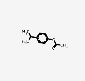 CC(=S)Oc1ccc(C(C)C)cc1